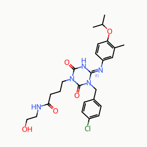 Cc1cc(/N=c2\[nH]c(=O)n(CCCC(=O)NCCO)c(=O)n2Cc2ccc(Cl)cc2)ccc1OC(C)C